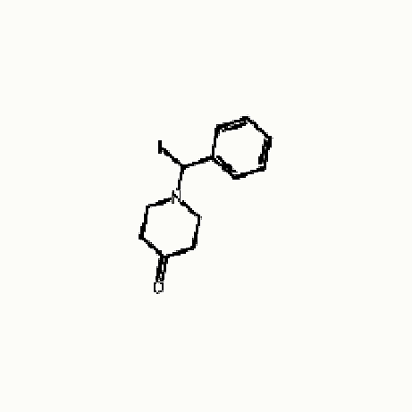 O=C1CCN(C(I)c2ccccc2)CC1